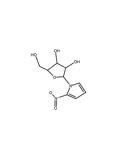 O=[N+]([O-])c1cccn1C1OC(CO)C(O)C1O